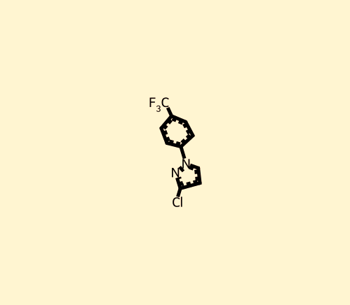 FC(F)(F)c1ccc(-n2ccc(Cl)n2)cc1